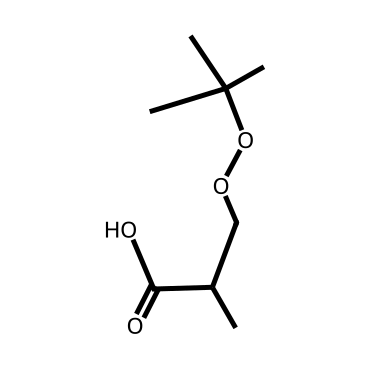 CC(COOC(C)(C)C)C(=O)O